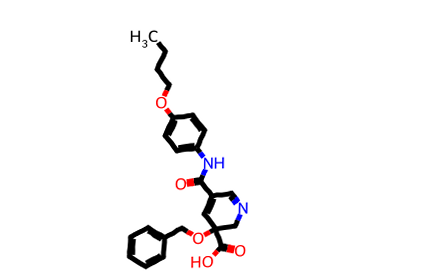 CCCCOc1ccc(NC(=O)C2=CC(OCc3ccccc3)(C(=O)O)CN=C2)cc1